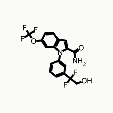 NC(=O)c1cc2ccc(OC(F)(F)F)cc2n1-c1cccc(C(F)(F)CO)c1